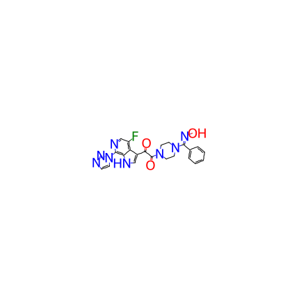 O=C(C(=O)N1CCN(C(=NO)c2ccccc2)CC1)c1c[nH]c2c(-n3ccnn3)ncc(F)c12